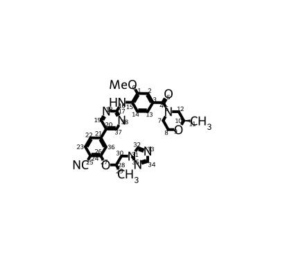 COc1cc(C(=O)N2CCO[C@H](C)C2)ccc1Nc1ncc(-c2ccc(C#N)c(OC(C)Cn3cncn3)c2)cn1